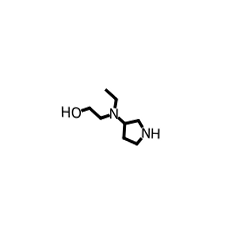 CCN(CCO)C1CCNC1